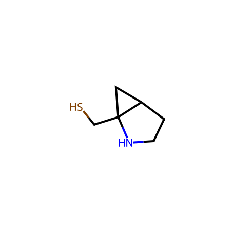 SCC12CC1CCN2